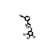 N#Cc1cncc(-c2cn(Cc3cc(Br)c(Br)c(Br)c3)nn2)c1